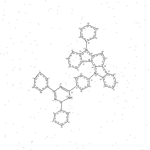 c1ccc(C2=NC(c3ccccc3)NC(c3ccc(-n4c5ccccc5c5ccc6c(c7ccccc7n6-c6ccccc6)c54)cc3)=N2)cc1